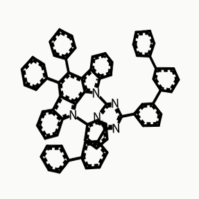 c1ccc(-c2cccc(-c3cccc(-c4nc(-c5cccc(-c6ccccc6)c5)nc(-n5c6ccccc6c6c(-c7ccccc7)c(-c7ccccc7)c7c8ccccc8n(-c8ccccc8)c7c65)n4)c3)c2)cc1